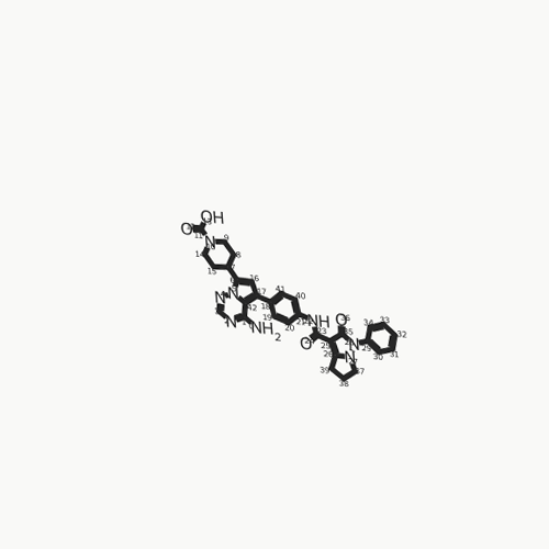 Nc1ncnn2c(C3CCN(C(=O)O)CC3)cc(-c3ccc(NC(=O)c4c5n(n(-c6ccccc6)c4=O)CCC5)cc3)c12